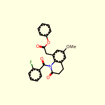 COc1cc2c(c(CC(=O)Oc3ccccc3)c1)N(C(=O)c1ccccc1F)C(=O)CC2